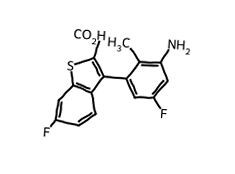 Cc1c(N)cc(F)cc1-c1c(C(=O)O)sc2cc(F)ccc12